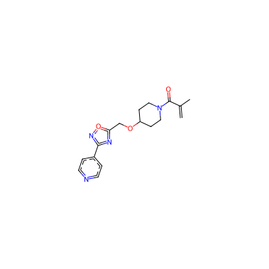 C=C(C)C(=O)N1CCC(OCc2nc(-c3ccncc3)no2)CC1